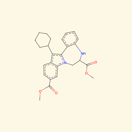 COC(=O)c1ccc2c(C3CCCCC3)c3n(c2c1)CC(C(=O)OC)Nc1ccccc1-3